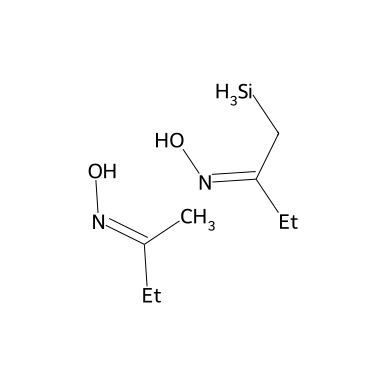 CCC(C)=NO.CCC(C[SiH3])=NO